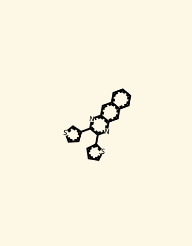 c1csc(-c2nc3cc4ccccc4cc3nc2-c2ccsc2)c1